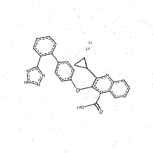 O=C(O)c1c(Oc2ccc(-c3ccccc3-c3nn[nH]n3)cc2)c(C2CC2)nc2ccccc12.[Li].[Li]